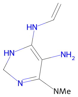 C=CNC1=C(N)C(NC)=NCN1